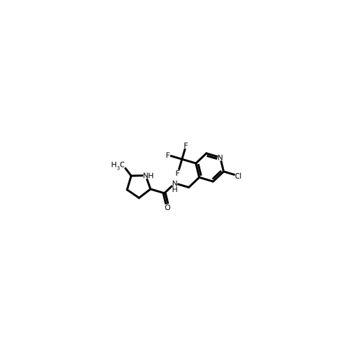 CC1CCC(C(=O)NCc2cc(Cl)ncc2C(F)(F)F)N1